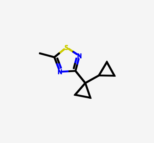 Cc1nc(C2(C3CC3)CC2)ns1